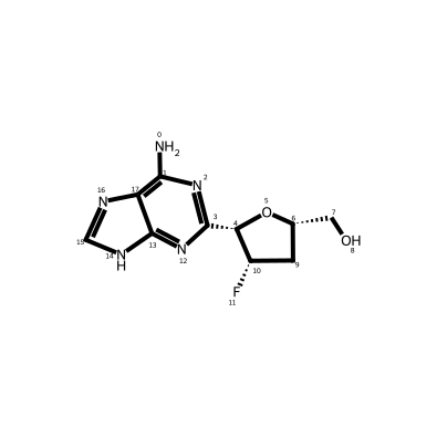 Nc1nc([C@@H]2O[C@H](CO)C[C@@H]2F)nc2[nH]cnc12